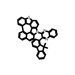 CC1(C)c2ccccc2-c2cccc(-c3nc4ccccc4nc3-n3c4ccc5cccc6c5c4c4c5c(ccc43)sc3cccc-6c35)c21